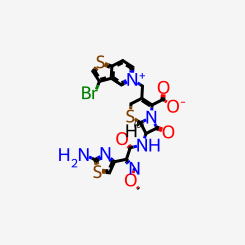 CON=C(C(=O)NC1C(=O)N2C(C(=O)[O-])=C(C[n+]3ccc4scc(Br)c4c3)CS[C@@H]12)c1csc(N)n1